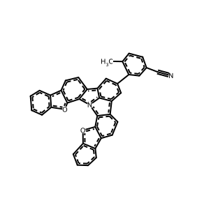 Cc1ccc(C#N)cc1-c1cc2c3ccc4c5ccccc5oc4c3n3c2c(c1)c1ccc2c4ccccc4oc2c13